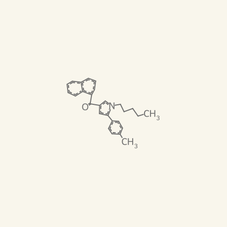 CCCCCn1cc(C(=O)c2cccc3ccccc23)cc1-c1ccc(C)cc1